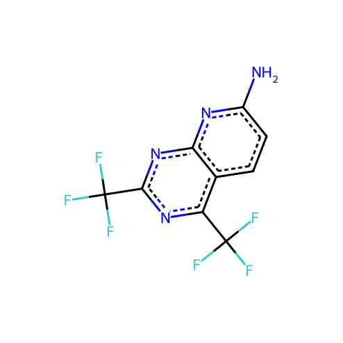 Nc1ccc2c(C(F)(F)F)nc(C(F)(F)F)nc2n1